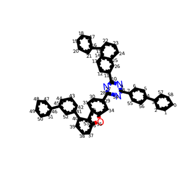 c1ccc(-c2ccc(-c3nc(-c4ccc5c(-c6ccccc6)cccc5c4)nc(-c4ccc5c(c4)oc4cccc(-c6cccc(-c7ccccc7)c6)c45)n3)cc2)cc1